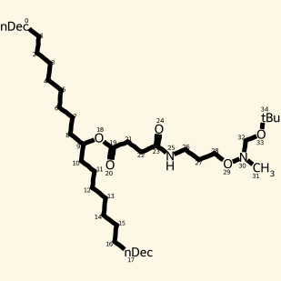 CCCCCCCCCCCCCCCCCCC(CCCCCCCCCCCCCCCCC)OC(=O)CCC(=O)NCCCON(C)COC(C)(C)C